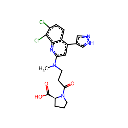 CN(CCC(=O)N1CCC[C@H]1C(=O)O)c1cc(-c2cn[nH]c2)c2ccc(Cl)c(Cl)c2n1